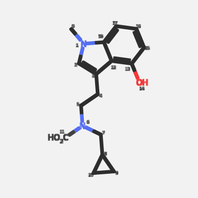 Cn1cc(CCN(CC2CC2)C(=O)O)c2c(O)cccc21